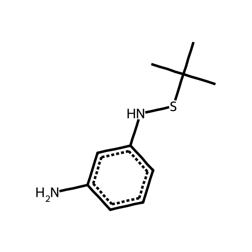 CC(C)(C)SNc1cccc(N)c1